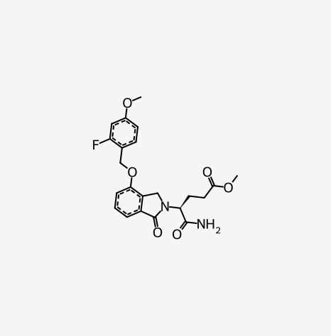 COC(=O)CC[C@@H](C(N)=O)N1Cc2c(OCc3ccc(OC)cc3F)cccc2C1=O